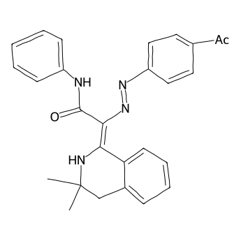 CC(=O)c1ccc(N=NC(C(=O)Nc2ccccc2)=C2NC(C)(C)Cc3ccccc32)cc1